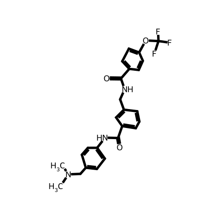 CN(C)Cc1ccc(NC(=O)c2cccc(CNC(=O)c3ccc(OC(F)(F)F)cc3)c2)cc1